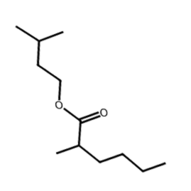 CCCCC(C)C(=O)OCCC(C)C